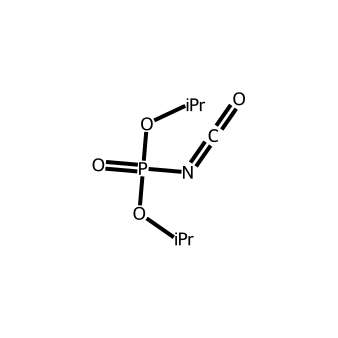 CC(C)OP(=O)(N=C=O)OC(C)C